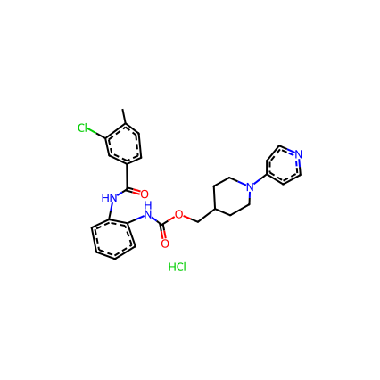 Cc1ccc(C(=O)Nc2ccccc2NC(=O)OCC2CCN(c3ccncc3)CC2)cc1Cl.Cl